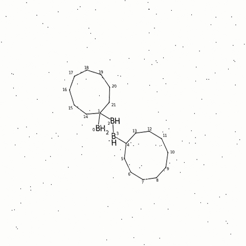 BC1(BBC2CCCCCCCCC2)CCCCCCCC1